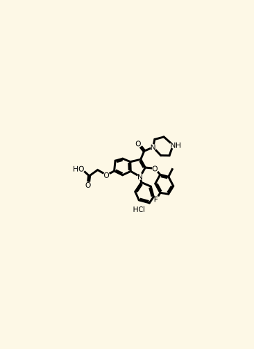 Cc1ccc(F)cc1Oc1c(C(=O)N2CCNCC2)c2ccc(OCC(=O)O)cc2n1-c1ccccc1.Cl